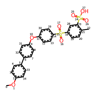 COc1ccc(-c2ccc(Oc3ccc(S(=O)(=O)c4ccc(C)c(S(=O)(=O)O)c4)cc3)cc2)cc1